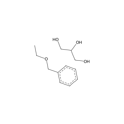 CCOCc1ccccc1.OCC(O)CO